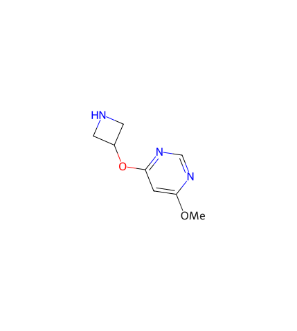 COc1cc(OC2CNC2)ncn1